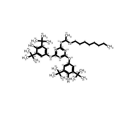 CCCCCCCCSC(C)Sc1nc(Oc2cc(C(C)(C)C)c(O)c(C(C)(C)C)c2)nc(Oc2cc(C(C)(C)C)c(O)c(C(C)(C)C)c2)n1